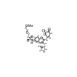 COCCOCCS(=O)(=O)Nc1cccc([C@@H](CN2CCCC2)N(C)C(=O)Cc2ccc(Cl)c(Cl)c2)c1